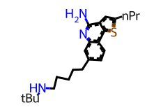 CCCc1cc2c(N)nc3cc(CCCCCNC(C)(C)C)ccc3c2s1